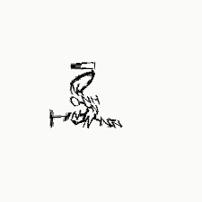 O=C(Nc1ccc(Cl)cn1)c1nc(-n2ccnc2)nc2cc[nH]c12